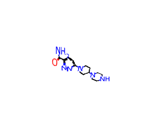 NC(=O)c1ccc(N2CCC(N3CCNCC3)CC2)nn1